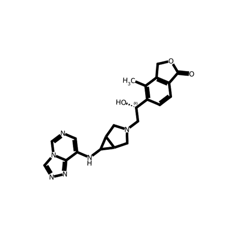 Cc1c([C@@H](O)CN2CC3C(C2)C3Nc2cncn3cnnc23)ccc2c1COC2=O